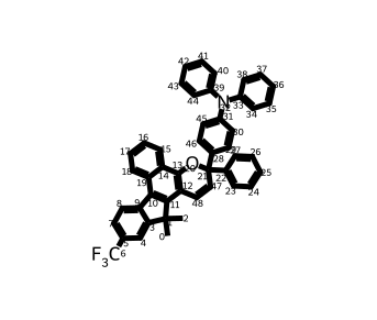 CC1(C)c2cc(C(F)(F)F)ccc2-c2c1c1c(c3ccccc23)OC(c2ccccc2)(c2ccc(N(c3ccccc3)c3ccccc3)cc2)C=C1